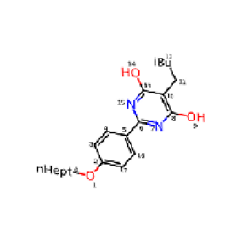 CCCCCCCOc1ccc(-c2nc(O)c(CC(C)CC)c(O)n2)cc1